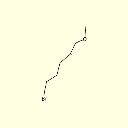 COC[CH]CCCBr